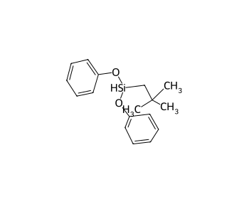 CC(C)(C)C[SiH](Oc1ccccc1)Oc1ccccc1